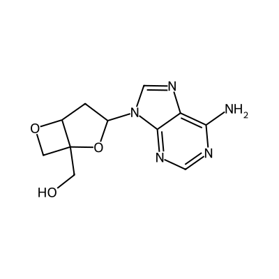 Nc1ncnc2c1ncn2C1CC2OCC2(CO)O1